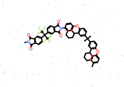 Cc1ccc(Oc2ccc(C(C)(C)c3ccc(Oc4ccc(N5C(=O)c6ccc(C(c7ccc8c(c7)C(=O)N(C)C8=O)(C(F)(F)F)C(F)(F)F)cc6C5=O)cc4)c(C4CCCCC4)c3)cc2C2CCCCC2)cc1